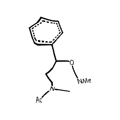 CNOC(CN(C)C(C)=O)c1ccccc1